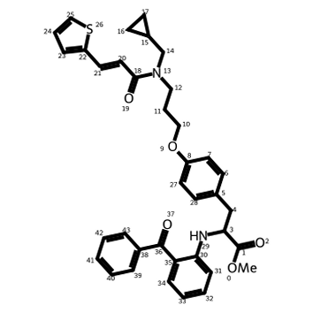 COC(=O)C(Cc1ccc(OCCCN(CC2CC2)C(=O)C=Cc2cccs2)cc1)Nc1ccccc1C(=O)c1ccccc1